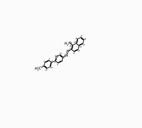 Cc1ccc(-c2ccc(N=Nc3ccc4ccccc4c3N)cn2)cc1